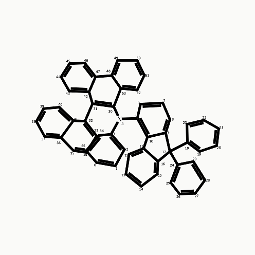 c1ccc(N(c2cccc3c2-c2ccccc2C3(c2ccccc2)c2ccccc2)c2c(-c3cccc4ccccc34)c3ccccc3c3ccccc23)cc1